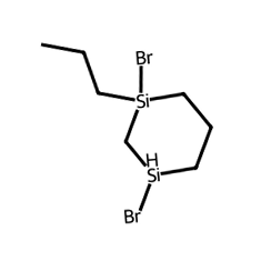 CCC[Si]1(Br)CCC[SiH](Br)C1